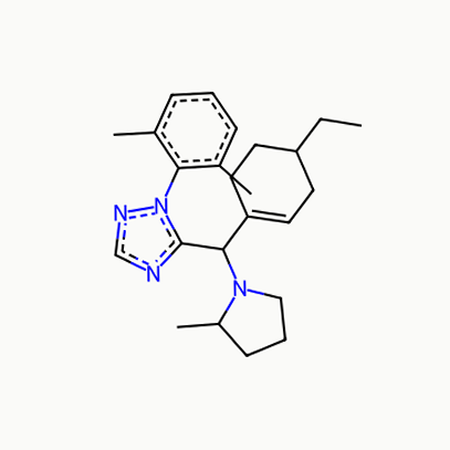 CCC1CC=C(C(c2ncnn2-c2c(C)cccc2C)N2CCCC2C)CC1